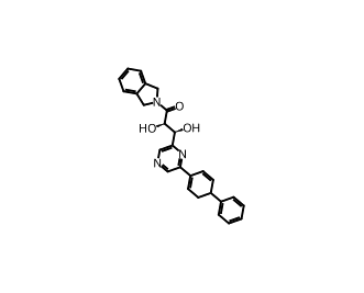 O=C([C@H](O)[C@@H](O)c1cncc(C2=CCC(c3ccccc3)C=C2)n1)N1Cc2ccccc2C1